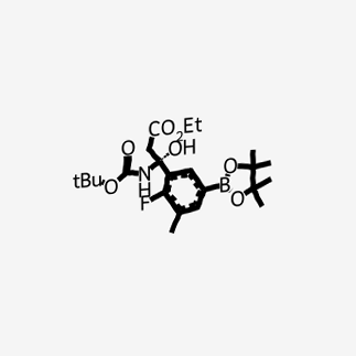 CCOC(=O)C[C@](O)(NC(=O)OC(C)(C)C)c1cc(B2OC(C)(C)C(C)(C)O2)cc(C)c1F